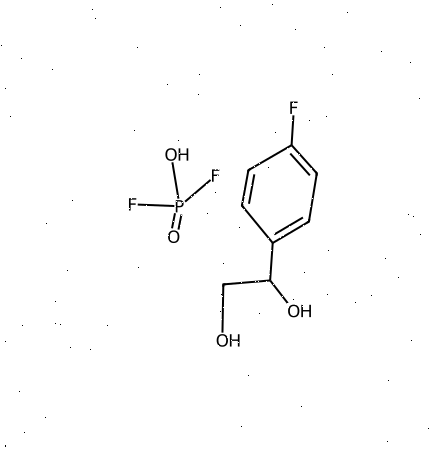 O=P(O)(F)F.OCC(O)c1ccc(F)cc1